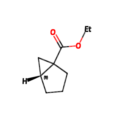 CCOC(=O)C12CCC[C@@H]1C2